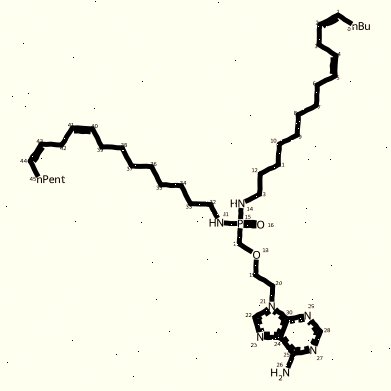 CCCC/C=C\C/C=C\CCCCCCCCNP(=O)(COCCn1cnc2c(N)ncnc21)NCCCCCCCC/C=C\C/C=C\CCCCC